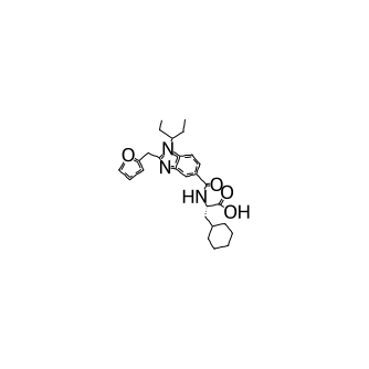 CCC(CC)n1c(Cc2ccco2)nc2cc(C(=O)N[C@@H](CC3CCCCC3)C(=O)O)ccc21